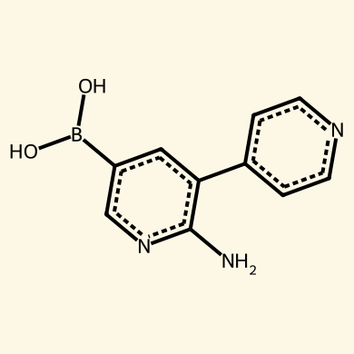 Nc1ncc(B(O)O)cc1-c1ccncc1